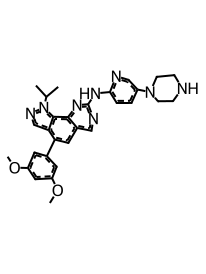 COc1cc(OC)cc(-c2cc3cnc(Nc4ccc(N5CCNCC5)cn4)nc3c3c2cnn3C(C)C)c1